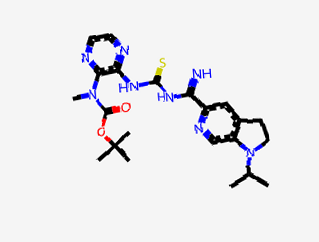 CC(C)N1CCc2cc(C(=N)NC(=S)Nc3nccnc3N(C)C(=O)OC(C)(C)C)ncc21